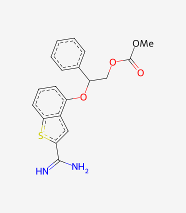 COC(=O)OCC(Oc1cccc2sc(C(=N)N)cc12)c1ccccc1